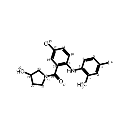 Cc1cc(I)ccc1Nc1ccc(Cl)cc1C(=O)N1CCC(O)C1